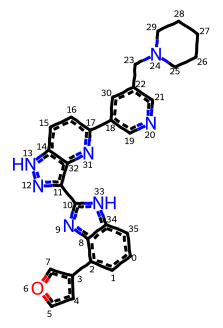 c1cc(-c2ccoc2)c2nc(-c3n[nH]c4ccc(-c5cncc(CN6CCCCC6)c5)nc34)[nH]c2c1